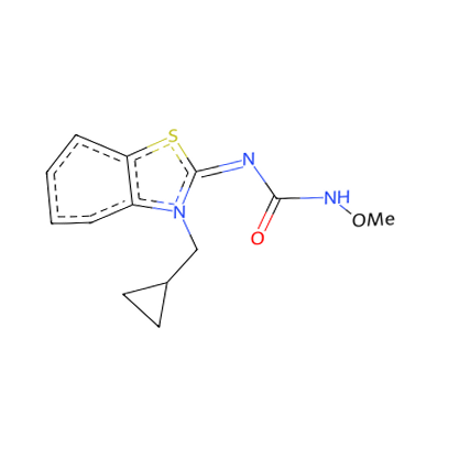 CONC(=O)N=c1sc2ccccc2n1CC1CC1